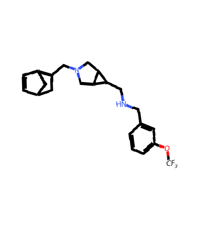 FC(F)(F)Oc1cccc(CNCC2C3CN(CC4CC5C=CC4C5)CC23)c1